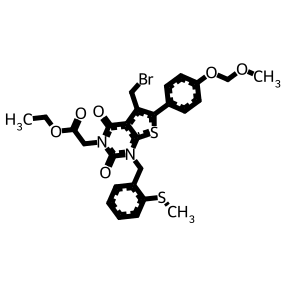 CCOC(=O)Cn1c(=O)c2c(CBr)c(-c3ccc(OCOC)cc3)sc2n(Cc2ccccc2SC)c1=O